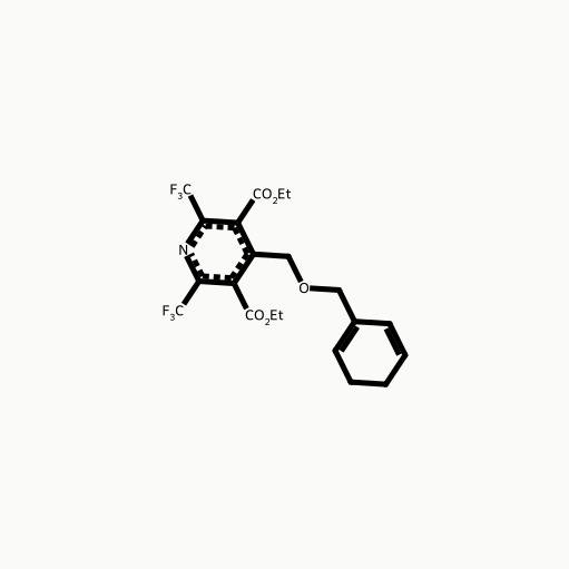 CCOC(=O)c1c(C(F)(F)F)nc(C(F)(F)F)c(C(=O)OCC)c1COCC1=CCCC=C1